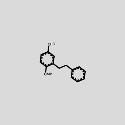 COc1ccc(C=O)cc1CCc1ccccc1